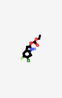 CCOC(=O)Oc1cc2cc(F)c(Cl)cc2[nH]1